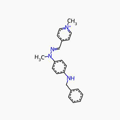 CN(/N=C/c1cc[n+](C)cc1)c1ccc(NCc2ccccc2)cc1